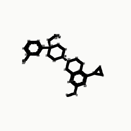 COc1nc2c(c(C3CC3)n1)CCN([C@H]1CC[C@](CN)(c3cccc(Cl)c3)CC1)C2